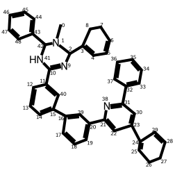 CN1C(C2=CC=CCC2)N=C(c2cccc(-c3cccc(-c4cc(C5=CCCC=C5)cc(-c5ccccc5)n4)c3)c2)NC1c1ccccc1